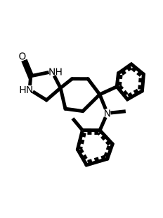 Cc1ccccc1N(C)C1(c2ccccc2)CCC2(CC1)CNC(=O)N2